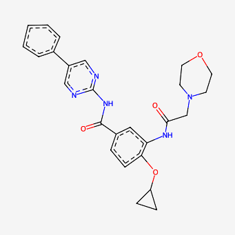 O=C(CN1CCOCC1)Nc1cc(C(=O)Nc2ncc(-c3ccccc3)cn2)ccc1OC1CC1